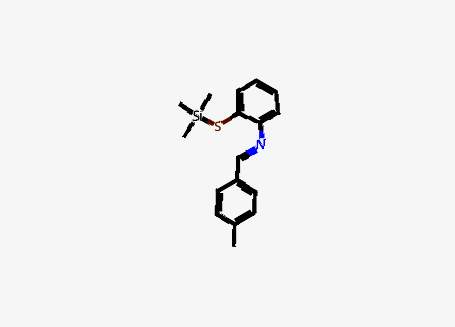 Cc1ccc(/C=N/c2ccccc2S[Si](C)(C)C)cc1